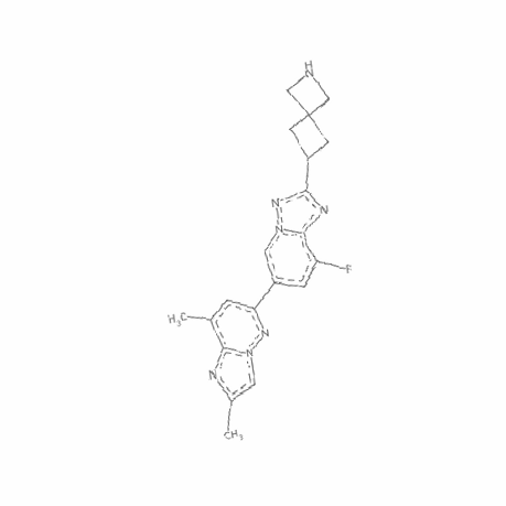 Cc1cn2nc(-c3cc(F)c4nc(C5CC6(CNC6)C5)nn4c3)cc(C)c2n1